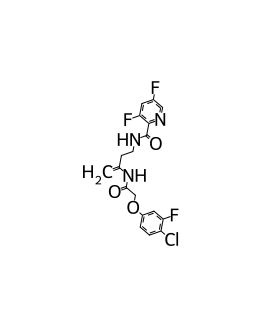 C=C(CCNC(=O)c1ncc(F)cc1F)NC(=O)COc1ccc(Cl)c(F)c1